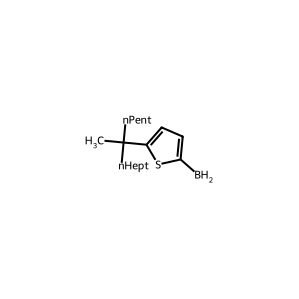 Bc1ccc(C(C)(CCCCC)CCCCCCC)s1